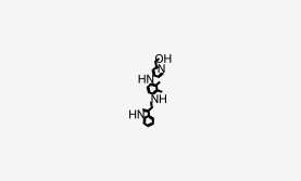 Cc1c(NCCc2c[nH]c3ccccc23)ccc(Nc2ccnc(CO)c2)c1C